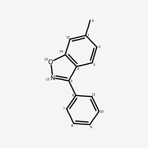 Cc1ccc2c(-c3ccccc3)noc2c1